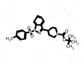 Cc1ccc(S(=O)(=O)n2nc(C3CCN(C(=O)OC(C)(C)C)CC3)c3ccccc32)cc1